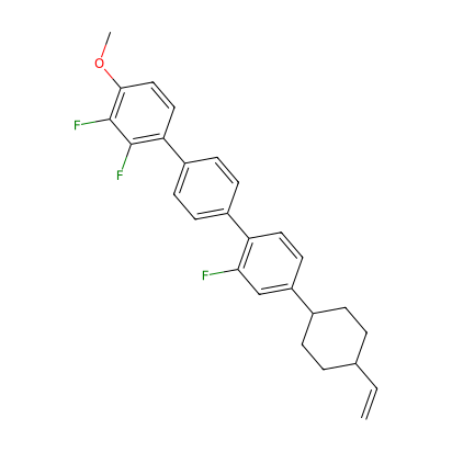 C=CC1CCC(c2ccc(-c3ccc(-c4ccc(OC)c(F)c4F)cc3)c(F)c2)CC1